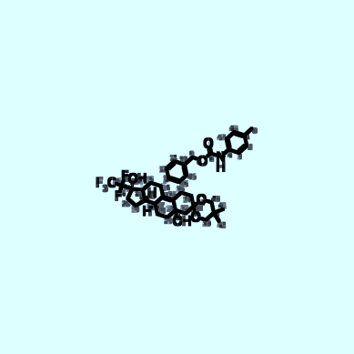 Cc1ccc(NC(=O)OCc2ccc([C@H]3C[C@@]4(C)[C@@H](CC[C@@]4(O)C(F)(F)C(F)(F)F)[C@@H]4CC[C@@]5(O)CC6(CCC5=C43)OCC(C)(C)CO6)cc2)cc1